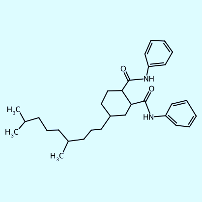 CC(C)CCCC(C)CCCC1CCC(C(=O)Nc2ccccc2)C(C(=O)Nc2ccccc2)C1